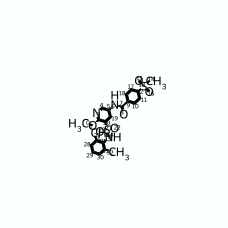 COc1ncc(NC(=O)c2ccc(S(C)(=O)=O)cc2)cc1S(=O)(=O)Nc1c(C)cccc1C